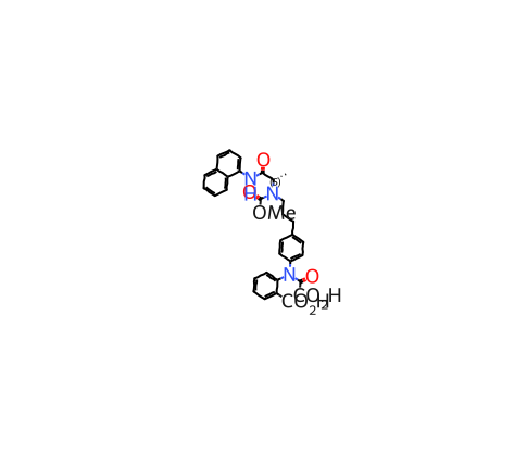 COC(=O)N(CCCc1ccc(N(C(=O)C(=O)O)c2ccccc2C(=O)O)cc1)[C@@H](C)C(=O)Nc1cccc2ccccc12